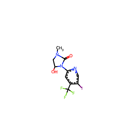 CN1CC(O)N(c2cc(C(F)(F)F)c(I)cn2)C1=O